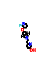 Oc1ccc(CCN2C[C@H]3CC(Oc4cccnc4F)C[C@H]3C2)nc1